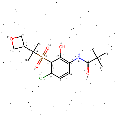 CC(C)(C)C(=O)Nc1ccc(Cl)c(S(=O)(=O)C(C)(C)C2COC2)c1O